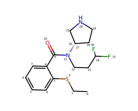 CCSc1ccccc1C(=O)N(CCC(F)F)[C@H]1CCNC1